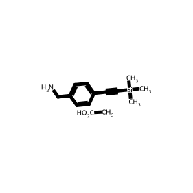 CC(=O)O.C[Si](C)(C)C#Cc1ccc(CN)cc1